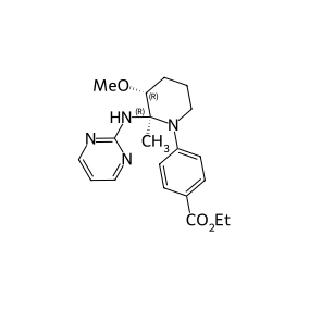 CCOC(=O)c1ccc(N2CCC[C@@H](OC)[C@]2(C)Nc2ncccn2)cc1